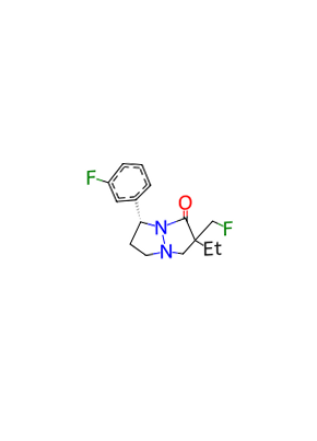 CCC1(CF)CN2CC[C@H](c3cccc(F)c3)N2C1=O